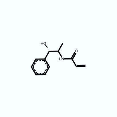 C=CC(=O)NC(C)[C@@H](O)c1ccccc1